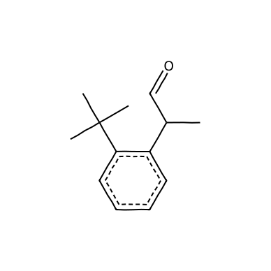 CC(C=O)c1ccccc1C(C)(C)C